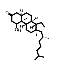 CC(C)CCC[C@@H](C)[C@H]1CC[C@H]2[C@@H]3CC[C@@H]4CC(=O)C[C@H](O)[C@]4(C)[C@H]3CC[C@]12C